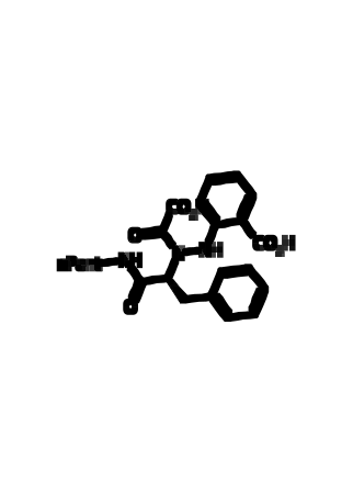 CCCCCNC(=O)[C@H](Cc1ccccc1)N(Nc1ccccc1C(=O)O)C(=O)C(=O)O